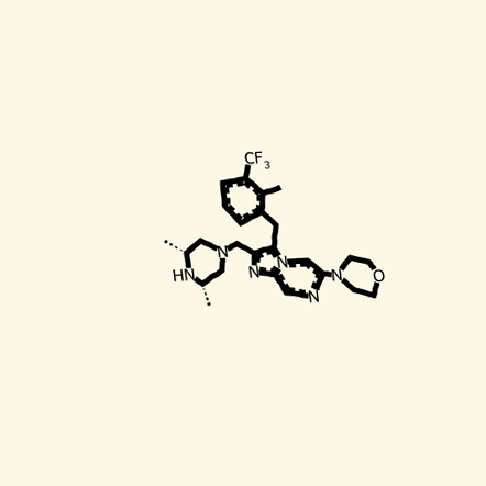 Cc1c(Cc2c(CN3C[C@@H](C)N[C@@H](C)C3)nc3cnc(N4CCOCC4)cn23)cccc1C(F)(F)F